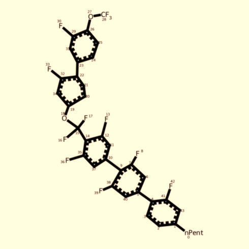 CCCCCc1ccc(-c2cc(F)c(-c3cc(F)c(C(F)(F)Oc4ccc(-c5ccc(OC(F)(F)F)c(F)c5)c(F)c4)c(F)c3)c(F)c2)c(F)c1